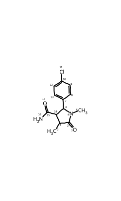 CC1C(=O)N(C)C(c2ccc(Cl)cc2)C1C(N)=O